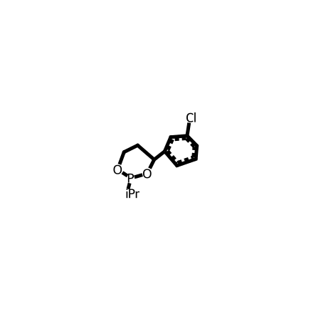 CC(C)P1OCCC(c2cccc(Cl)c2)O1